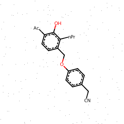 CCCc1c(COc2ccc(CC#N)cc2)ccc(C(C)=O)c1O